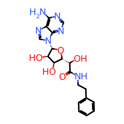 Nc1ncnc2c1ncn2[C@@H]1O[C@H](C(O)C(=O)NCCc2ccccc2)[C@@H](O)[C@H]1O